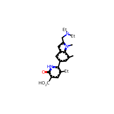 CCc1cc(C(=O)O)c(=O)[nH]c1-c1cc(C)c2c(c1)cc(CN(CC)CC)n2C